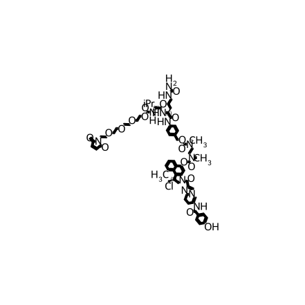 Cc1cccc2c(OC(=O)N(C)CCN(C)C(=O)OCc3ccc(NC(=O)[C@H](CCCNC(N)=O)NC(=O)[C@@H](NC(=O)OCCOCCOCCOCCN4C(=O)C=CC4=O)C(C)C)cc3)cc3c(c12)[C@H](CCl)CN3C(=O)c1cn2c(n1)CCC(NC(=O)c1ccc(O)cc1)=C2